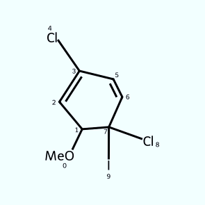 COC1C=C(Cl)C=CC1(Cl)I